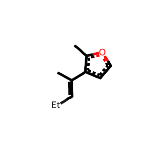 CCC=C(C)c1ccoc1C